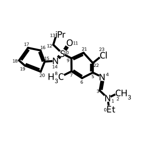 CCN(C)C=Nc1cc(C)c(S(=O)(CC(C)C)=Nc2ccccc2)cc1Cl